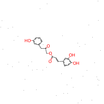 O=C(COC(=O)/C=C/c1ccc(O)c(O)c1)Cc1cccc(O)c1